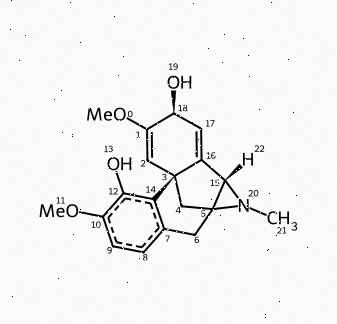 COC1=C[C@]23CC4(Cc5ccc(OC)c(O)c52)[C@H](C3=C[C@@H]1O)N4C